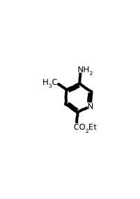 CCOC(=O)c1cc(C)c(N)cn1